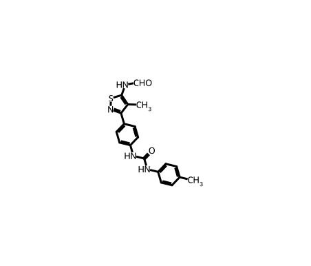 Cc1ccc(NC(=O)Nc2ccc(-c3nsc(NC=O)c3C)cc2)cc1